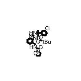 CC(C)(C)C(=O)OCC(C)(Nc1nc2cccc(CNC(=O)N3CCCO3)c2[nH]1)c1cccc(Cl)c1